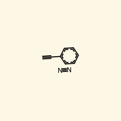 C#Cc1ccccc1.N#N